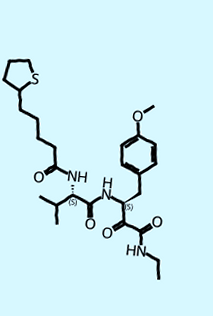 CCNC(=O)C(=O)[C@H](Cc1ccc(OC)cc1)NC(=O)[C@@H](NC(=O)CCCCC1CCCS1)C(C)C